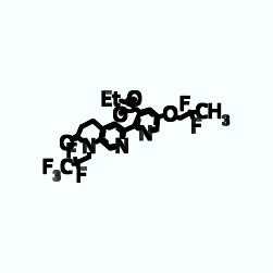 CCS(=O)(=O)c1cc(OCC(C)(F)F)cnc1-c1cc2c(cn1)N(CC(F)(F)C(F)(F)F)C(=O)CC2